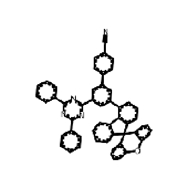 N#Cc1ccc(-c2cc(-c3nc(-c4ccccc4)nc(-c4ccccc4)n3)cc(-c3cccc4c3-c3ccccc3C43c4ccccc4Oc4ccccc43)c2)cc1